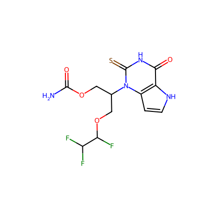 NC(=O)OCC(COC(F)C(F)F)n1c(=S)[nH]c(=O)c2[nH]ccc21